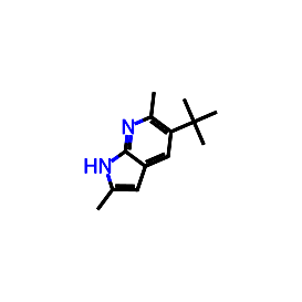 Cc1cc2cc(C(C)(C)C)c(C)nc2[nH]1